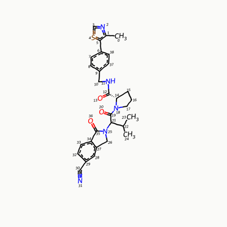 Cc1ncsc1-c1ccc(CNC(=O)[C@@H]2CCCN2C(=O)C(C(C)C)N2Cc3cc(C#N)ccc3C2=O)cc1